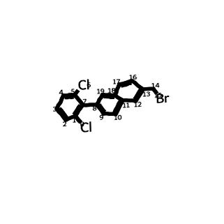 Clc1cccc(Cl)c1-c1ccc2cc(CBr)ccc2c1